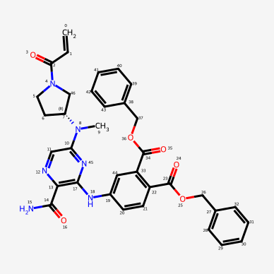 C=CC(=O)N1CC[C@@H](N(C)c2cnc(C(N)=O)c(Nc3ccc(C(=O)OCc4ccccc4)c(C(=O)OCc4ccccc4)c3)n2)C1